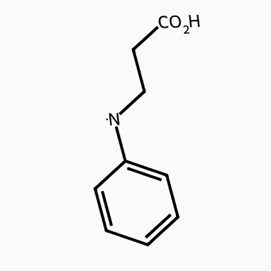 O=C(O)CC[N]c1ccccc1